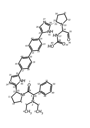 CCN(CC)[C@@H](C(=O)N1CCC[C@H]1c1ncc(-c2ccc(-c3ccc(-c4cnc([C@@H]5CCCN5C(C=O)NC(=O)O)[nH]4)cc3)cc2)[nH]1)c1ccccc1